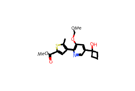 COCOc1cc(C2(O)CCC2)cnc1-c1cc(C(=O)OC)sc1C